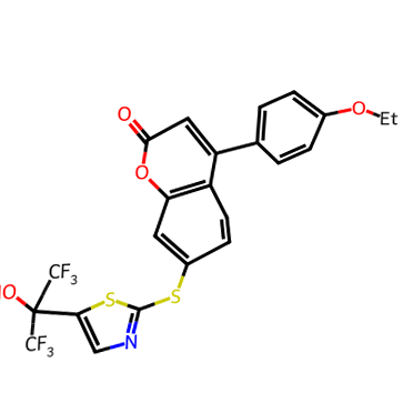 CCOc1ccc(-c2cc(=O)oc3cc(Sc4ncc(C(O)(C(F)(F)F)C(F)(F)F)s4)ccc23)cc1